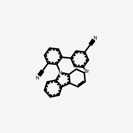 N#Cc1cc(Br)cc(-c2cccc(C#N)c2-n2c3c(c4ccccc42)C=CCC3)c1